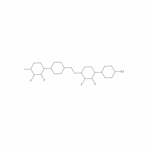 CCC1CCC(C2CCC(CCC3CCC(C4CCC(C)C(F)C4F)CC3)C(F)C2F)CC1